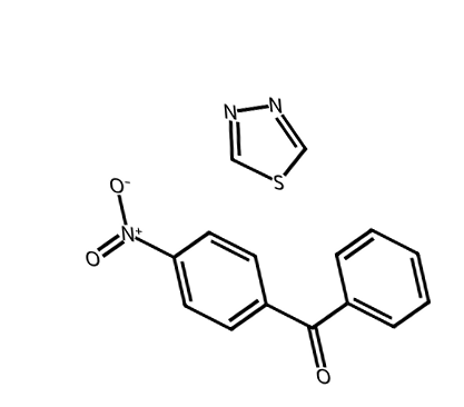 O=C(c1ccccc1)c1ccc([N+](=O)[O-])cc1.c1nncs1